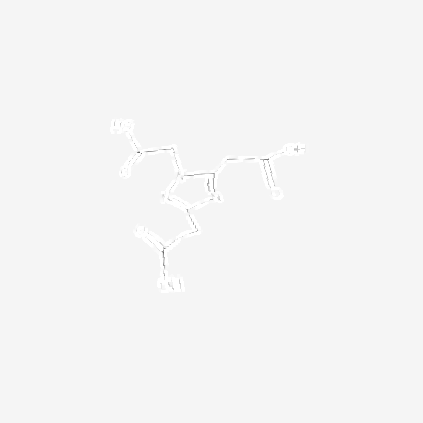 O=C(O)Cc1nc(CC(=O)O)n(CC(=O)O)n1